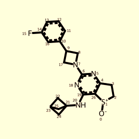 [O-][S+]1CCc2nc(N3CC(c4cccc(F)c4)C3)nc(NC34CC(C3)C4)c21